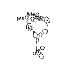 COc1cc2c3cc1Oc1c(OC)c(OC)cc4c1[C@@H](Cc1ccc(OCCCN5C(=O)c6ccccc6C5=O)c(c1)Oc1ccc(cc1)CC3N(C)CC2)N(C)CC4